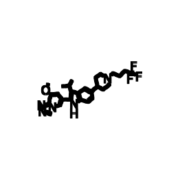 COc1cc(-c2[nH]c3ccc(C4CCN(CCCC(F)(F)F)CC4)cc3c2C(C)C)cn2cnnc12